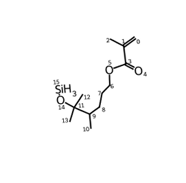 C=C(C)C(=O)OCCCC(C)C(C)(C)O[SiH3]